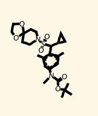 Cc1cc(N(C)C(=O)OC(C)(C)C)cc(C)c1C(C1CC1)S(=O)(=O)N1CCC2(CC1)OCCO2